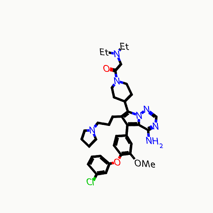 CCN(CC)CC(=O)N1CCC(c2c(CCCN3CCCC3)c(-c3ccc(Oc4cccc(Cl)c4)c(OC)c3)c3c(N)ncnn23)CC1